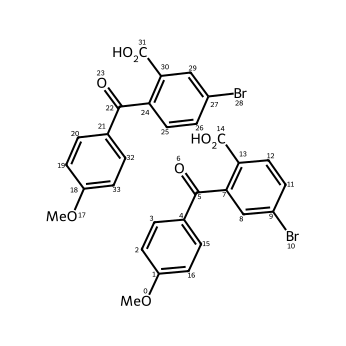 COc1ccc(C(=O)c2cc(Br)ccc2C(=O)O)cc1.COc1ccc(C(=O)c2ccc(Br)cc2C(=O)O)cc1